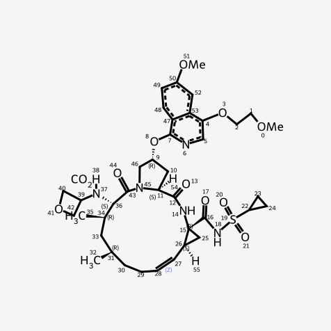 COCCOc1cnc(O[C@@H]2C[C@H]3C(=O)N[C@]4(C(=O)NS(=O)(=O)C5CC5)C[C@H]4/C=C\CC[C@@H](C)C[C@@H](C)[C@H](N(C(=O)O)C4COC4)C(=O)N3C2)c2ccc(OC)cc12